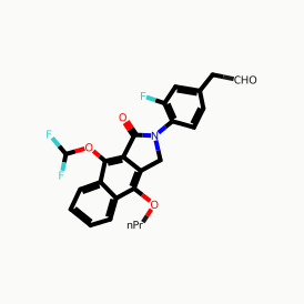 CCCOc1c2c(c(OC(F)F)c3ccccc13)C(=O)N(c1ccc(CC=O)cc1F)C2